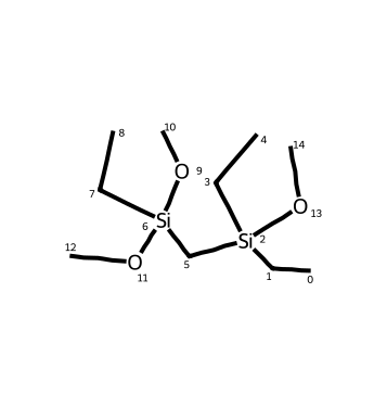 CC[Si](CC)(C[Si](CC)(OC)OC)OC